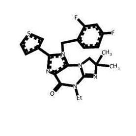 CCN1C(=O)c2nc(-c3ccsc3)n(Cc3ccc(F)cc3F)c2N2CC(C)(C)N=C12